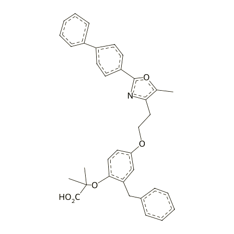 Cc1oc(-c2ccc(-c3ccccc3)cc2)nc1CCOc1ccc(OC(C)(C)C(=O)O)c(Cc2ccccc2)c1